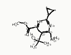 COC(=O)c1nc(C2CC2)nc(N)c1C(C)(C)C